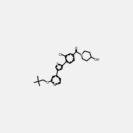 CC(C)(C)COc1cc(-c2csc(-c3ccc(C(=O)N4CCC(O)CC4)cc3Cl)c2)ccn1